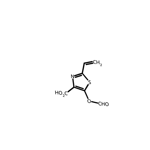 C=Cc1nc(C(=O)O)c(OC=O)s1